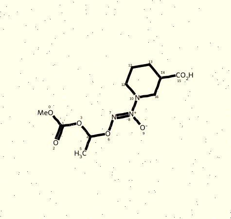 COC(=O)OC(C)ON=[N+]([O-])N1CCCC(C(=O)O)C1